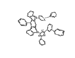 c1ccc(-c2ccc(-n3c4ccccc4c4c(-c5ccccc5)c5c6ccccc6n(-c6nc(-c7ccccc7)nc(-c7cccc(-c8ccccc8)c7)n6)c5cc43)cc2)cc1